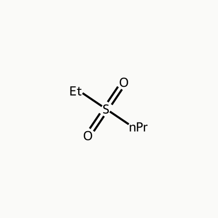 [CH2]CS(=O)(=O)CCC